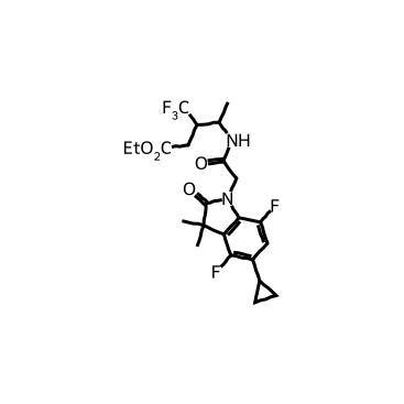 CCOC(=O)CC(C(C)NC(=O)CN1C(=O)C(C)(C)c2c(F)c(C3CC3)cc(F)c21)C(F)(F)F